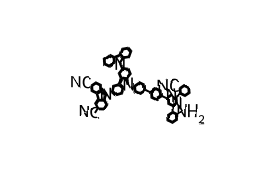 N#Cc1ccc2c(c1)c1cc(C#N)ccc1n2-c1ccc2c(c1)c1cc(-n3c4ccccc4c4ccccc43)ccc1n2-c1ccc(-c2ccc(-c3cc(-c4ccccc4N)nc(-c4ccccc4C#N)n3)cc2)cc1